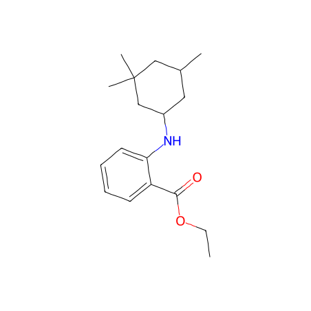 CCOC(=O)c1ccccc1NC1CC(C)CC(C)(C)C1